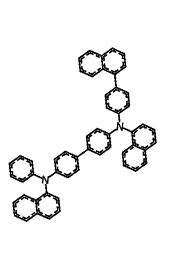 c1ccc(N(c2ccc(-c3ccc(N(c4ccc(-c5cccc6ccccc56)cc4)c4cccc5ccccc45)cc3)cc2)c2cccc3ccccc23)cc1